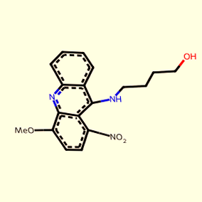 COc1ccc([N+](=O)[O-])c2c(NCCCCO)c3ccccc3nc12